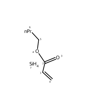 C=CC(=O)OCCCC.[SiH4]